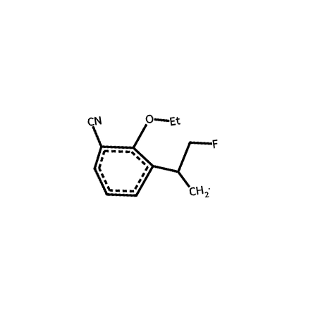 [CH2]C(CF)c1cccc(C#N)c1OCC